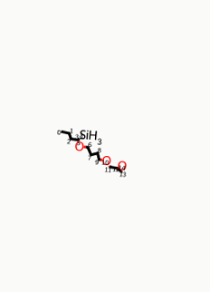 CCCC([SiH3])OCCCCOCC1CO1